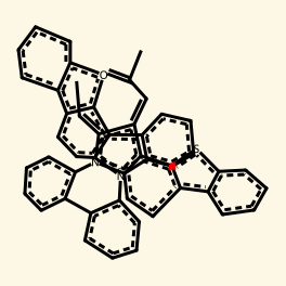 C=C(C)/C=c1\c(=C/C)n(-c2ccccc2-c2ccccc2-n2c3ccccc3c3c4oc5ccccc5c4ccc32)c2ccc3c4ccccc4sc3c12